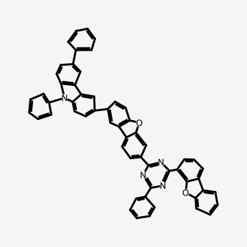 c1ccc(-c2ccc3c(c2)c2cc(-c4ccc5oc6cc(-c7nc(-c8ccccc8)nc(-c8cccc9c8oc8ccccc89)n7)ccc6c5c4)ccc2n3-c2ccccc2)cc1